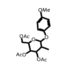 COc1ccc(OC2OC(COC(C)=O)C(OC(C)=O)C(OC(C)=O)C2C)cc1